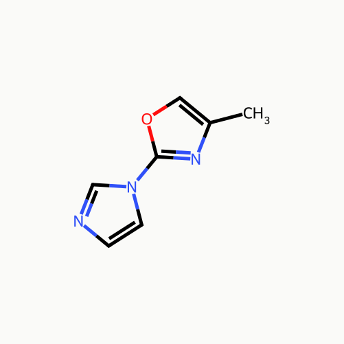 Cc1coc(-n2ccnc2)n1